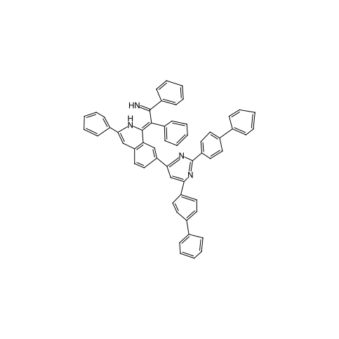 N=C(/C(=C1\NC(c2ccccc2)=Cc2ccc(-c3cc(-c4ccc(-c5ccccc5)cc4)nc(-c4ccc(-c5ccccc5)cc4)n3)cc21)c1ccccc1)c1ccccc1